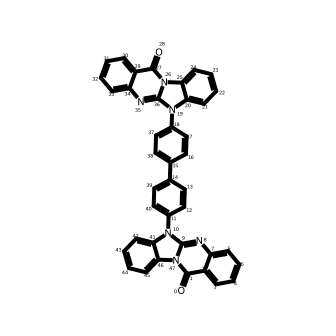 O=c1c2ccccc2nc2n(-c3ccc(-c4ccc(-n5c6ccccc6n6c(=O)c7ccccc7nc56)cc4)cc3)c3ccccc3n12